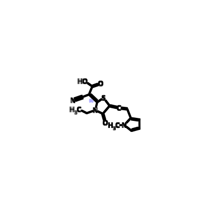 CCn1c(=O)c(=C=Cc2cccn2C)s/c1=C(/C#N)C(=O)O